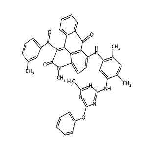 Cc1cccc(C(=O)c2c3c4c(c(Nc5cc(Nc6nc(C)nc(Oc7ccccc7)n6)c(C)cc5C)ccc4n(C)c2=O)C(=O)c2ccccc2-3)c1